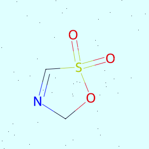 O=S1(=O)C=NCO1